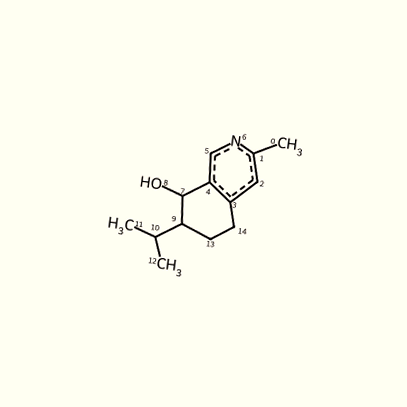 Cc1cc2c(cn1)C(O)C(C(C)C)CC2